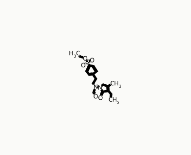 CCOS(=O)(=O)c1ccc(CCN(C=O)N2CC(C)=C(CC)C2=O)cc1